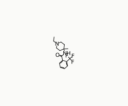 CCN1CCC(C)(NC(=O)c2ccccc2C(F)(F)F)CC1